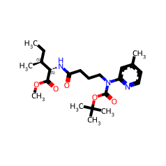 CC[C@H](C)[C@H](NC(=O)CCCN(C(=O)OC(C)(C)C)c1cc(C)ccn1)C(=O)OC